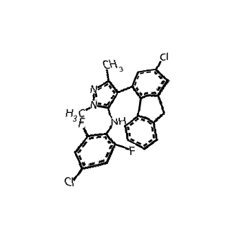 Cc1nn(C)c(Nc2c(F)cc(Cl)cc2F)c1-c1cc(Cl)cc2c1-c1ccccc1C2